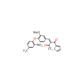 COc1cc(C=C(C(=O)c2cccs2)C(=O)C(F)(F)F)ccc1Oc1ccc(C(F)(F)F)cc1[N+](=O)[O-]